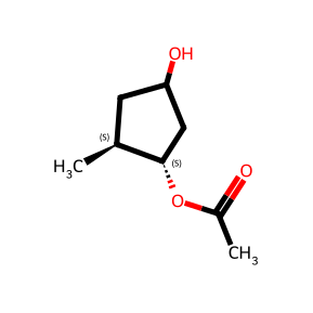 CC(=O)O[C@H]1CC(O)C[C@@H]1C